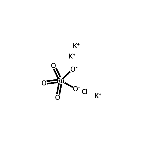 [Cl-].[K+].[K+].[K+].[O]=[Ru](=[O])(=[O])([O-])[O-]